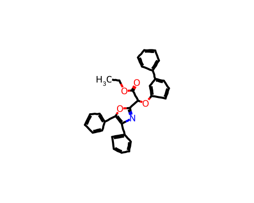 CCOC(=O)C(Oc1cccc(-c2ccccc2)c1)c1nc(-c2ccccc2)c(-c2ccccc2)o1